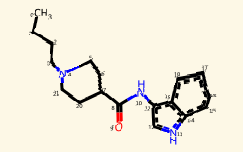 CCCCN1CCC(C(=O)Nc2c[nH]c3ccccc23)CC1